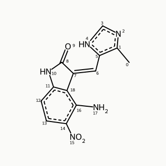 Cc1nc[nH]c1/C=C1\C(=O)Nc2ccc([N+](=O)[O-])c(N)c21